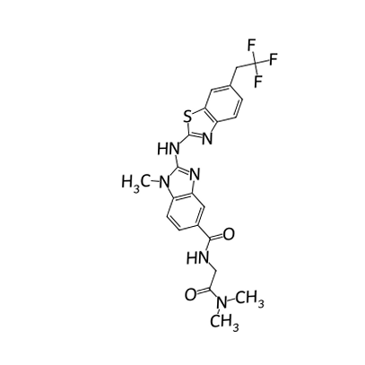 CN(C)C(=O)CNC(=O)c1ccc2c(c1)nc(Nc1nc3ccc(CC(F)(F)F)cc3s1)n2C